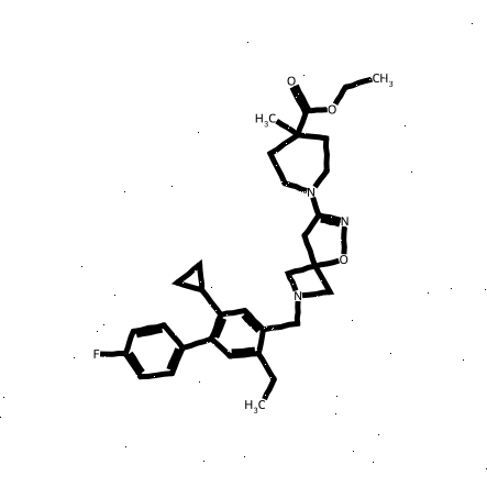 CCOC(=O)C1(C)CCN(C2=NOC3(C2)CN(Cc2cc(C4CC4)c(-c4ccc(F)cc4)cc2CC)C3)CC1